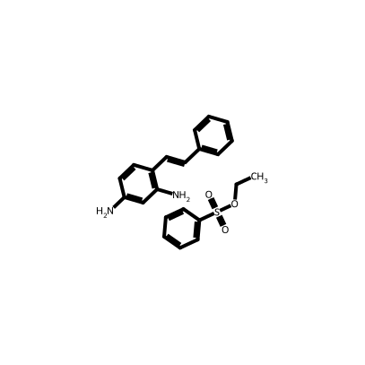 CCOS(=O)(=O)c1ccccc1.Nc1ccc(C=Cc2ccccc2)c(N)c1